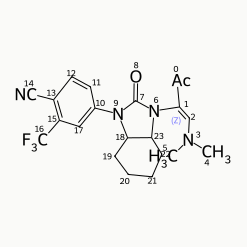 CC(=O)/C(=C/N(C)C)N1C(=O)N(c2ccc(C#N)c(C(F)(F)F)c2)C2CCCCC21